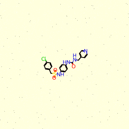 O=C(NCc1ccncc1)Nc1ccc(NS(=O)(=O)Cc2ccc(Cl)cc2)cc1